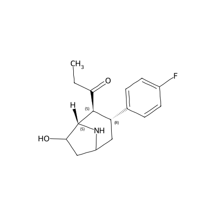 CCC(=O)[C@@H]1[C@@H]2NC(CC2O)C[C@H]1c1ccc(F)cc1